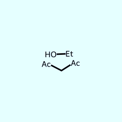 CC(=O)CC(C)=O.CCO